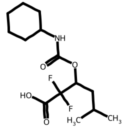 CC(C)CC(OC(=O)NC1CCCCC1)C(F)(F)C(=O)O